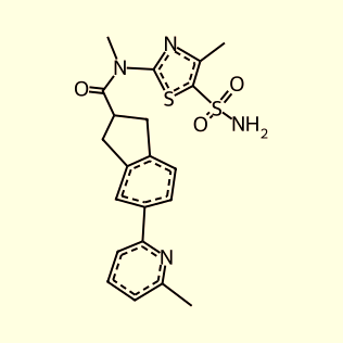 Cc1cccc(-c2ccc3c(c2)CC(C(=O)N(C)c2nc(C)c(S(N)(=O)=O)s2)C3)n1